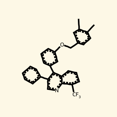 Cc1ccc(COc2cccc(-c3c(-c4ccccc4)cnc4c(C(F)(F)F)cccc34)c2)cc1C